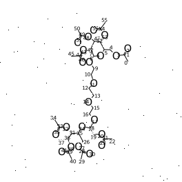 CC(=O)OCC1O[C@H](OCCOCCOCCO[C@H](COC(C)=O)OC(COC(C)=O)[C@@H](OC(C)=O)[C@@H](C)OC(C)=O)[C@H](OC(C)=O)C(OC(C)=O)[C@@H]1OC(C)=O